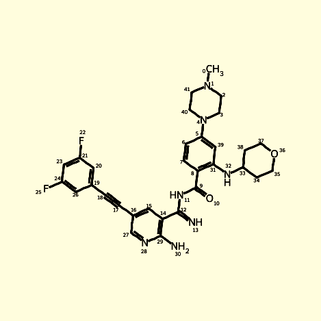 CN1CCN(c2ccc(C(=O)NC(=N)c3cc(C#Cc4cc(F)cc(F)c4)cnc3N)c(NC3CCOCC3)c2)CC1